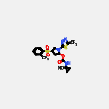 N#CC1(NC(=O)O[C@H]2C[C@@H](S(=O)(=O)c3ccccc3C(F)(F)F)CN2c2nnc(C(F)(F)F)s2)CC1